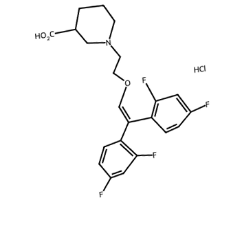 Cl.O=C(O)C1CCCN(CCOC=C(c2ccc(F)cc2F)c2ccc(F)cc2F)C1